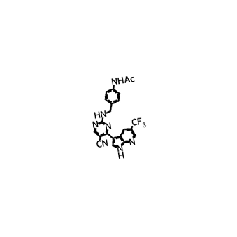 CC(=O)Nc1ccc(CNc2ncc(C#N)c(-c3c[nH]c4ncc(C(F)(F)F)cc34)n2)cc1